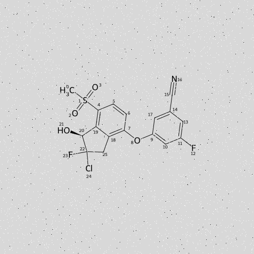 CS(=O)(=O)c1ccc(Oc2cc(F)cc(C#N)c2)c2c1[C@H](O)C(F)(Cl)C2